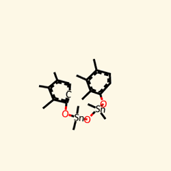 Cc1ccc([O][Sn]([CH3])([CH3])[O][Sn]([CH3])([CH3])[O]c2ccc(C)c(C)c2C)c(C)c1C